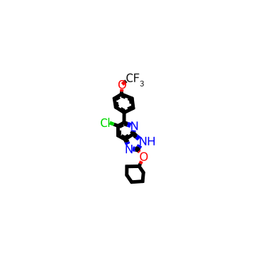 FC(F)(F)Oc1ccc(-c2nc3[nH]c(OC4CCCCC4)nc3cc2Cl)cc1